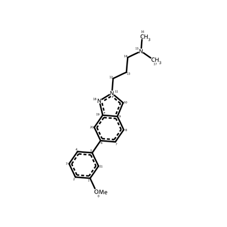 COc1cccc(-c2ccc3cn(CCCN(C)C)nc3c2)c1